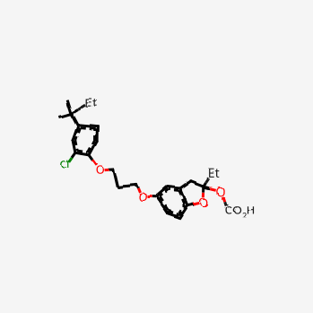 CCC1(OC(=O)O)Cc2cc(OCCCOc3ccc(C(C)(C)CC)cc3Cl)ccc2O1